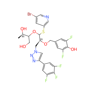 C[C@@H](O)C(CO)OC(Sc1cncc(Br)c1)[C@H](Cn1cc(-c2cc(F)c(F)c(F)c2)nn1)OCc1cc(F)c(O)c(F)c1